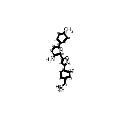 CCNCc1ccc(-c2cc(-c3nc(-c4ccc(C)cc4)cnc3N)on2)c(F)c1